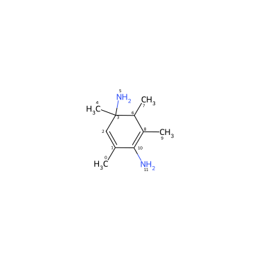 CC1=CC(C)(N)C(C)C(C)=C1N